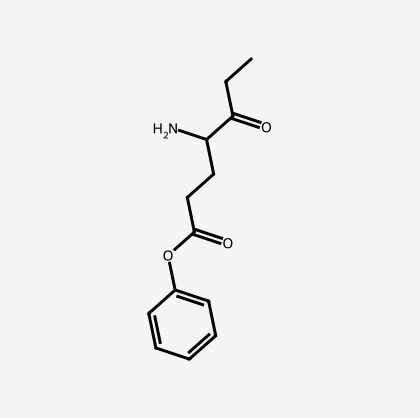 CCC(=O)C(N)CCC(=O)Oc1ccccc1